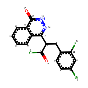 O=C(Cl)C(Cc1ccc(Br)cc1F)c1n[nH]c(=O)c2ccccc12